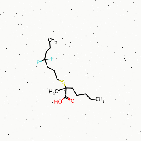 CCCCCC(C)(SCCCC(F)(F)CCC)C(=O)O